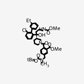 CCc1cccc(-c2c(Cl)cccc2C(O)(CCCNC(=O)OC)[C@@H]2CCCN(C(=O)c3ccc(CN(C)C(=O)OC(C)(C)C)cc3C(=O)OC)C2)c1